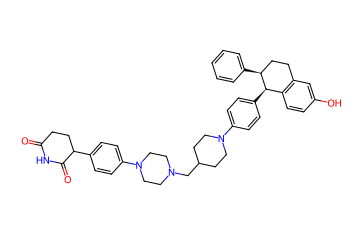 O=C1CCC(c2ccc(N3CCN(CC4CCN(c5ccc([C@@H]6c7ccc(O)cc7CC[C@@H]6c6ccccc6)cc5)CC4)CC3)cc2)C(=O)N1